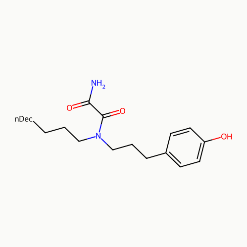 CCCCCCCCCCCCCN(CCCc1ccc(O)cc1)C(=O)C(N)=O